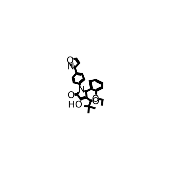 CCOc1ccccc1C1C(C(=O)C(C)(C)C)=C(O)C(=O)N1c1ccc(-c2ccon2)cc1